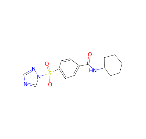 O=C(NC1CCCCC1)c1ccc(S(=O)(=O)n2cncn2)cc1